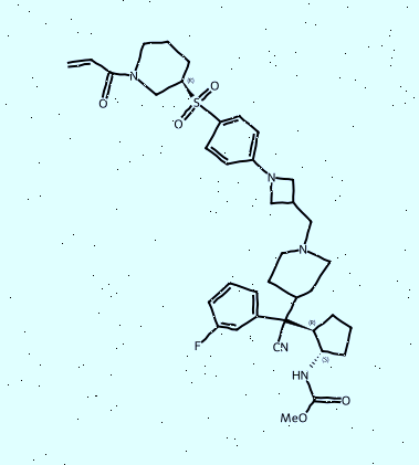 C=CC(=O)N1CCC[C@@H](S(=O)(=O)c2ccc(N3CC(CN4CCC(C(C#N)(c5cccc(F)c5)[C@H]5CCC[C@@H]5NC(=O)OC)CC4)C3)cc2)C1